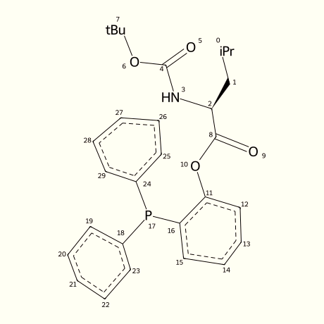 CC(C)C[C@H](NC(=O)OC(C)(C)C)C(=O)Oc1ccccc1P(c1ccccc1)c1ccccc1